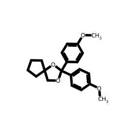 COc1ccc(C2(c3ccc(OC)cc3)OCC3(CCCC3)O2)cc1